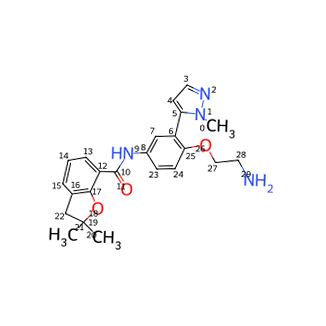 Cn1nccc1-c1cc(NC(=O)c2cccc3c2OC(C)(C)C3)ccc1OCCN